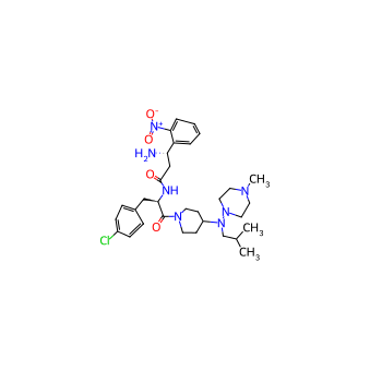 CC(C)CN(C1CCN(C(=O)[C@@H](Cc2ccc(Cl)cc2)NC(=O)C[C@H](N)c2ccccc2[N+](=O)[O-])CC1)N1CCN(C)CC1